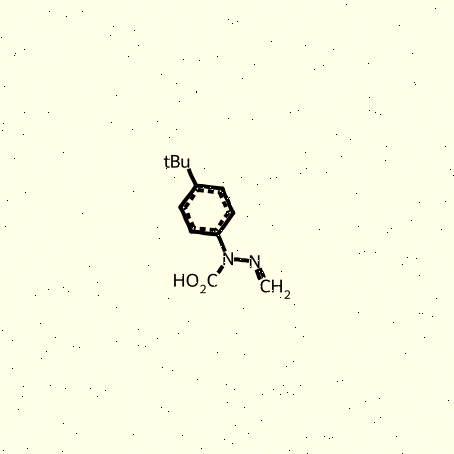 C=NN(C(=O)O)c1ccc(C(C)(C)C)cc1